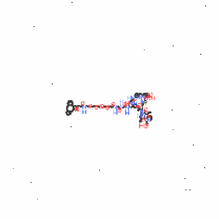 CCCCCCN(C(=O)[C@@H](NC(=O)[C@H]1CCCCN1CCO)[C@@H](C)CC)[C@H](C[C@@H](OCC)c1nc(C(=O)N[C@@H](Cc2ccc(NC(=O)CNC(=O)[C@H](Cc3ccccc3)NC(=O)CNC(=O)CNC(=O)CCOCCOCCOCCOCCNC(=O)CCC(=O)CC3c4ccccc4/C=C\c4ccccc4CC3C)cc2)CC(C)(C)C(=O)O)cs1)C(C)C